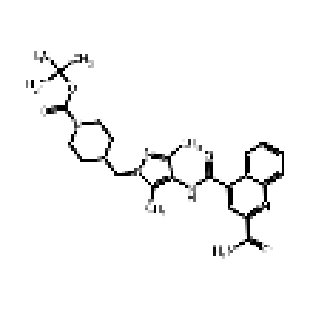 Cc1nn(CC2CCN(C(=O)OC(C)(C)C)CC2)c(C)c1NC(=O)c1cc(C(N)=O)nc2ccccc12